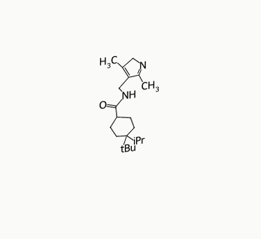 CC1=NCC(C)=C1CNC(=O)C1CCC(C(C)C)(C(C)(C)C)CC1